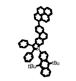 CC(C)(C)c1c2ccccc2c(C(C)(C)C)c2cc(-n3c(-c4ccccc4)c(-c4ccccc4)c4cc5c(ccc6cc(-c7ccc8ccc9cccc%10ccc7c8c9%10)ccc65)cc43)ccc12